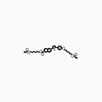 C=CC(=O)OCCCCCCOC(=O)c1ccc2cc(-c3ccc(-c4ccc(OCCCCCCOC(=O)C=C)cc4)s3)ccc2c1